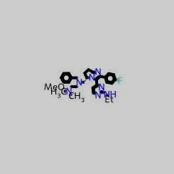 CCNc1nccc(-c2c(-c3ccc(F)cc3)nc3n2[C@H](CN(CCN(C)C)Cc2cccc(OC)c2)CC3)n1